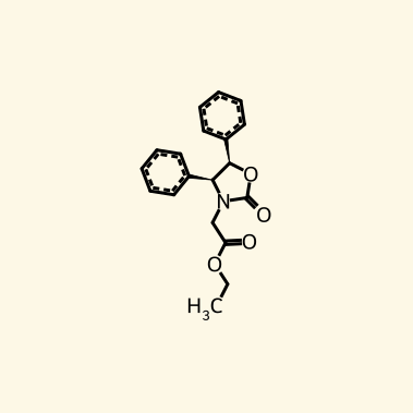 CCOC(=O)CN1C(=O)O[C@H](c2ccccc2)[C@@H]1c1ccccc1